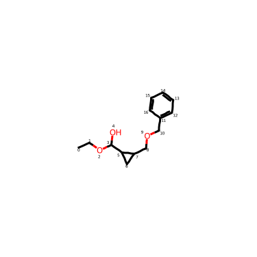 CCOC(O)C1CC1COCc1ccccc1